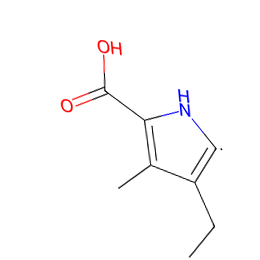 CCc1[c][nH]c(C(=O)O)c1C